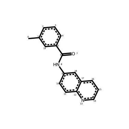 Cc1cccc(C(=O)Nc2ccc3ncccc3c2)c1